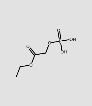 CCOC(=O)COP(=O)(O)O